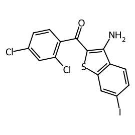 Nc1c(C(=O)c2ccc(Cl)cc2Cl)sc2cc(I)ccc12